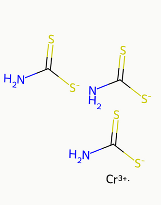 NC(=S)[S-].NC(=S)[S-].NC(=S)[S-].[Cr+3]